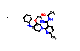 CO[C@H]1CN(c2nc(C)ccc2C(=N)NC(C)O)CC[C@H]1NC1CCCCC1